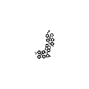 CC=Cc1cccc(C2(c3cccc(N(c4cccc(C)c4)c4ccc5ccc6c(N(c7cccc(C)c7)c7cccc(C8(c9cccc(C(C)C)c9)c9ccccc9-c9ccccc98)c7)ccc7ccc4c5c76)c3)c3ccccc3-c3ccccc32)c1